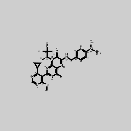 COc1ncnc(C2CC2)c1-c1nc(C)c2nc(NCc3ccc([S+](N)[O-])nc3)c(=O)n([C@@H](C)C(F)(F)F)c2n1